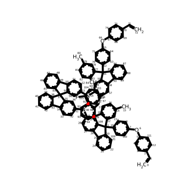 C=Cc1ccc(Oc2ccc(C3(c4cc(C)ccc4C)c4ccccc4-c4ccc(N(c5ccc6c(c5)C5(c7ccccc7-6)c6ccccc6-c6ccc(N(c7ccc8c(c7)C(c7ccc(Oc9ccc(C=C)cc9)cc7)(c7cc(C)ccc7C)c7ccccc7-8)c7ccccc7F)cc65)c5ccccc5F)cc43)cc2)cc1